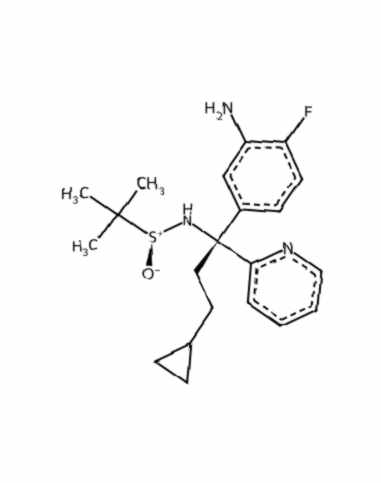 CC(C)(C)[S@+]([O-])N[C@](CCC1CC1)(c1ccc(F)c(N)c1)c1ccccn1